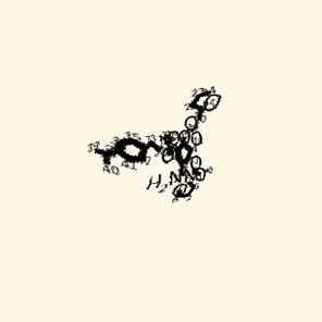 COC(=O)N(C1CCCO1)C(N)c1ccc(OC(=O)OCC2CCCO2)c(S(=O)(=O)N(C)CCc2ccc(C(C)C)cc2)c1